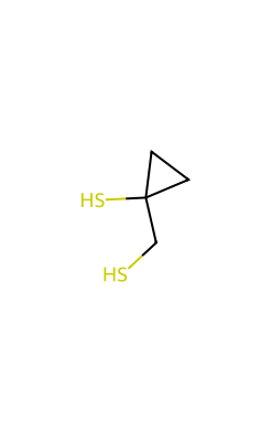 SCC1(S)CC1